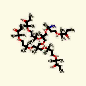 C=CC(=O)C(C)(C)OCCC(C)(C)OCC(C)(COCC(C)(COC(C)(N)CCOC(C)(C)C(=O)C=C)OC(C)(C)CCOC(C)(C)C(=O)C=C)COC(C)(C)CCOC(C)(C)C(=O)C=C